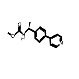 COC(=O)N[C@@H](C)c1ccc(-c2ccncc2)cc1